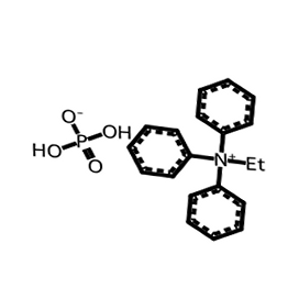 CC[N+](c1ccccc1)(c1ccccc1)c1ccccc1.O=P([O-])(O)O